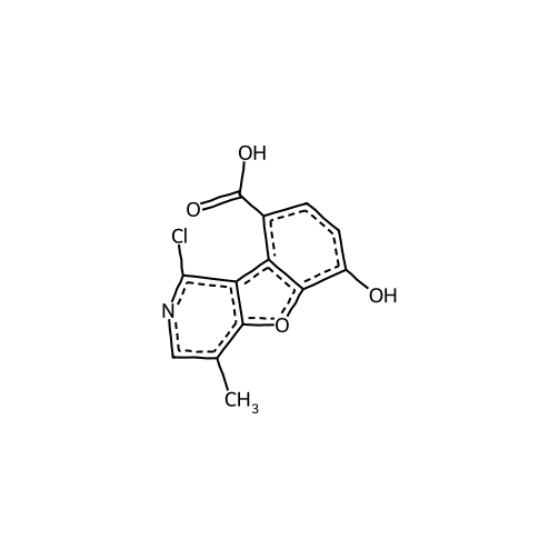 Cc1cnc(Cl)c2c1oc1c(O)ccc(C(=O)O)c12